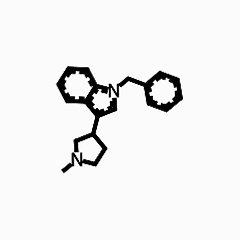 CN1CCC(c2cn(Cc3ccccc3)c3ccccc23)C1